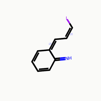 N=C1C=CC=C/C1=C/C=C\I